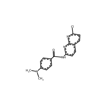 CN(C)c1ccc(C(=O)Nc2ccc3ccc(Cl)nc3n2)cc1